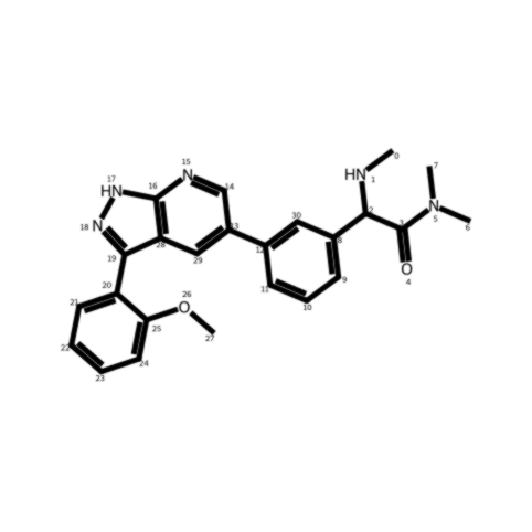 CNC(C(=O)N(C)C)c1cccc(-c2cnc3[nH]nc(-c4ccccc4OC)c3c2)c1